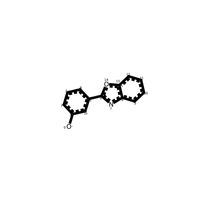 [O]c1cccc(-c2nc3ccccc3o2)c1